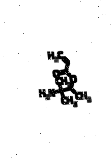 C=CC(=O)OC(C)C(C)(C)N